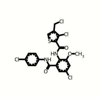 COc1cc(Cl)cc(C(=O)Nc2ccc(Cl)cc2)c1NC(=O)c1scc(CCl)c1Cl